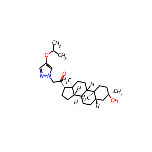 CC(C)Oc1cnn(CC(=O)[C@H]2CC[C@H]3[C@@H]4CC[C@H]5C[C@](C)(O)CC[C@]5(C)[C@H]4CC[C@]23C)c1